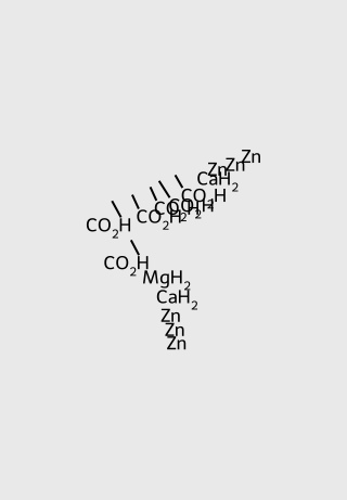 CC(=O)O.CC(=O)O.CC(=O)O.CC(=O)O.CC(=O)O.CC(=O)O.[CaH2].[CaH2].[MgH2].[Zn].[Zn].[Zn].[Zn].[Zn].[Zn]